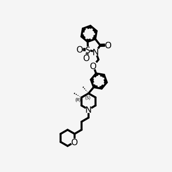 C[C@H]1CN(CCCC2CCCCO2)CC[C@]1(C)c1cccc(OCN2C(=O)c3ccccc3S2(=O)=O)c1